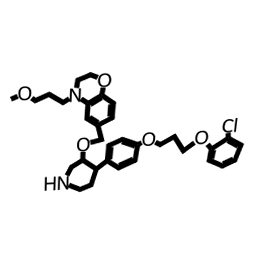 COCCCN1CCOc2ccc(COC3CNCCC3c3ccc(OCCCOc4ccccc4Cl)cc3)cc21